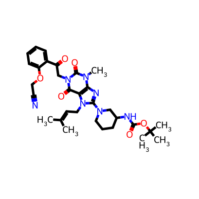 CC(C)=CCn1c(N2CCCC(NC(=O)OC(C)(C)C)C2)nc2c1c(=O)n(CC(=O)c1ccccc1OCC#N)c(=O)n2C